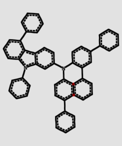 c1ccc(-c2ccc(N(c3ccc4c5c(-c6ccccc6)cccc5n(-c5ccccc5)c4c3)c3ccc(-c4ccccc4)cc3-c3ccccc3)cc2)cc1